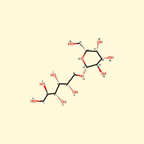 OC[C@@H](O)[C@@H](O)[C@H](O)[C@@H](O)CO[C@@H]1O[C@H](CO)[C@H](O)[C@H](O)[C@H]1O